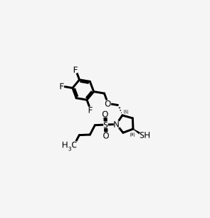 CCCCS(=O)(=O)N1C[C@H](S)C[C@H]1COCc1cc(F)c(F)cc1F